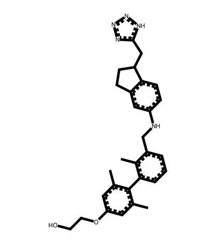 Cc1cc(OCCO)cc(C)c1-c1cccc(CNc2ccc3c(c2)CCC3Cc2nnn[nH]2)c1C